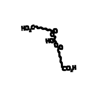 O=C(O)CCCCCCCC(=O)OCC(O)COC(=O)CCCCCCCC(=O)O